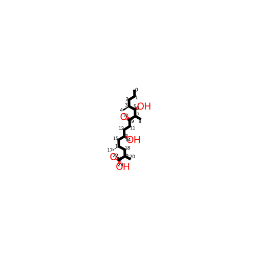 CCC[C@H](C)C(O)C(C)C(=O)CCC(O)C[C@@H](C)CC(C)C(=O)O